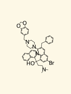 CN(C)CCC(O)(c1cccc2ccccc12)c1cc(Br)cc2cc(Cc3ccccc3)c(N3CCN(Cc4ccc5c(c4)OCO5)CC3)nc12